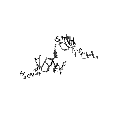 COCCNC(=O)c1ccc(CC#Cc2cc3c(N[C@@H]4CCN(C)C[C@@H]4F)cccc3n2CC(F)(F)F)c(OC)c1N